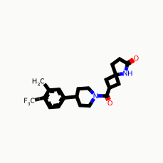 Cc1cc(C2CCN(C(=O)C3CC4(CCC(=O)N4)C3)CC2)ccc1C(F)(F)F